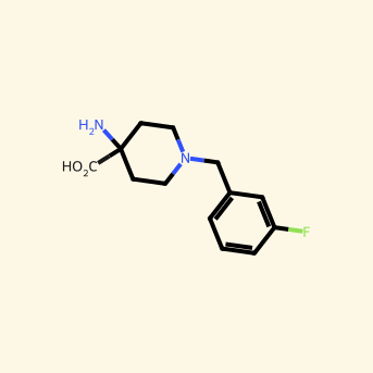 NC1(C(=O)O)CCN(Cc2cccc(F)c2)CC1